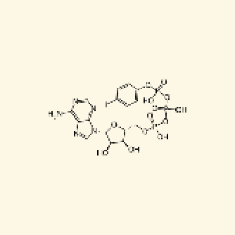 Nc1ncnc2c1ncn2[C@@H]1O[C@H](COP(=O)(O)OP(=O)(O)OP(=O)(O)Oc2ccc(I)cc2)[C@@H](O)[C@H]1O